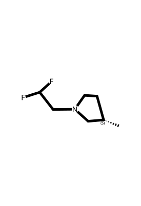 C[C@H]1CCN(CC(F)F)C1